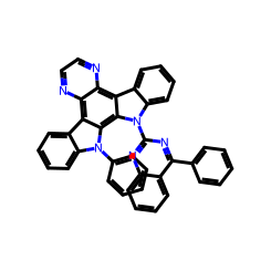 c1ccc(-c2nc(-n3c4ccccc4c4c5nccnc5c5c6ccccc6n(-c6ccccc6)c5c43)nc3ccccc23)cc1